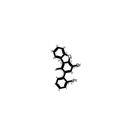 Cc1c(-c2ccccc2C(C)C)cc(Br)c2oc3ccccc3c12